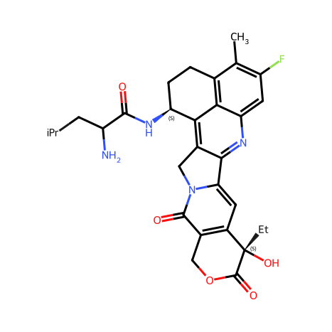 CC[C@@]1(O)C(=O)OCc2c1cc1n(c2=O)Cc2c-1nc1cc(F)c(C)c3c1c2[C@@H](NC(=O)C(N)CC(C)C)CC3